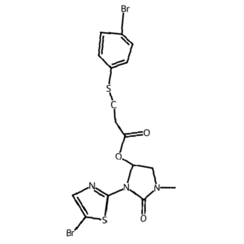 CN1CC(OC(=O)CCSc2ccc(Br)cc2)N(c2ncc(Br)s2)C1=O